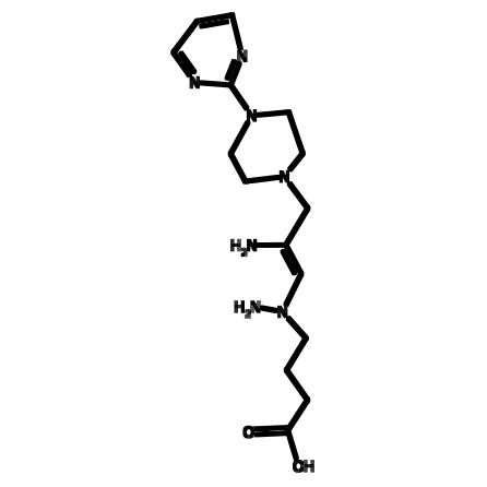 N/C(=C\N(N)CCCC(=O)O)CN1CCN(c2ncccn2)CC1